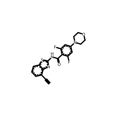 C#Cc1cccc2sc(NC(=O)c3c(F)cc(N4CCOCC4)cc3F)nc12